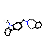 Cn1c2ccccc2c2ccc(CN3CCc4ccccc4CC3)cc21